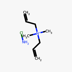 C=CC[N+](C)(C)CC=C.NCl